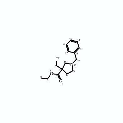 CCOC(=O)C1(CF)CCN(Cc2ccccc2)C1